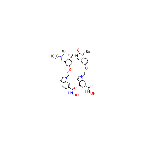 CC(C)(C)CN(Cc1cccc(OCCn2ccc3ccc(C(=O)NO)cc32)c1)C(=O)O.CN(Cc1cccc(OCCn2ccc3ccc(C(=O)NO)cc32)c1)C(=O)OC(C)(C)C